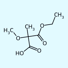 CCOC(=O)C(C)(OC)C(=O)O